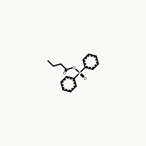 CCCC(=O)OP(=O)(c1ccccc1)c1ccccc1